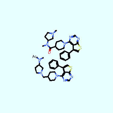 CC(=O)N(C)C1CCN(CC2CCN(c3ncnc4scc(-c5ccccc5)c34)CC2)C1.CN1CCC(N(C)C(=O)C2CCN(c3ncnc4scc(-c5ccccc5)c34)CC2)C1